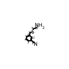 N#Cc1cccc(CSCCN)c1